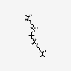 CC(=O)NCCCS(=O)(=O)OCC(C)(C)CNC(=O)OCCOC(=O)C(C)C